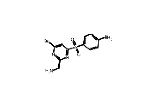 NCc1nc(Br)cc(S(=O)(=O)c2ccc(N)cc2)n1